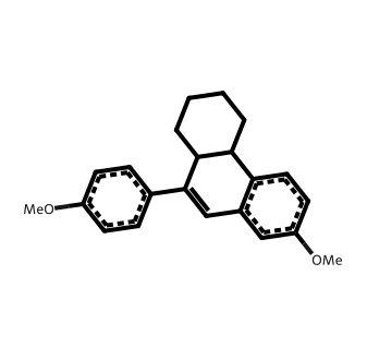 COc1ccc(C2=Cc3cc(OC)ccc3C3CCCCC23)cc1